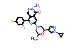 CC1CN(c2cc3c(=O)n(C)ncc3c(-c3ccc(F)cc3F)n2)CC(c2cnn(C3CC3)c2)O1